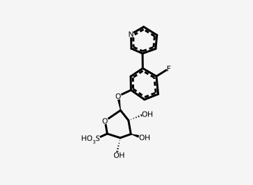 O=S(=O)(O)C1O[C@@H](Oc2ccc(F)c(-c3cccnc3)c2)[C@H](O)[C@@H](O)[C@@H]1O